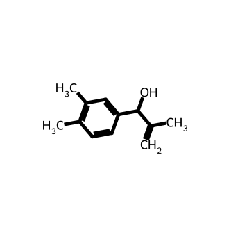 C=C(C)C(O)c1ccc(C)c(C)c1